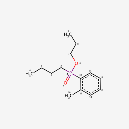 CCCCP(=O)(OCCC)c1ccccc1C